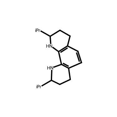 CC(C)C1CCc2ccc3c(c2N1)NC(C(C)C)CC3